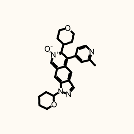 Cc1cc(-c2c(C3CCOCC3)[n+]([O-])cc3cc4c(cnn4C4CCCCO4)cc23)ccn1